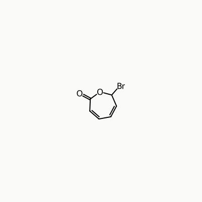 O=C1C=CC=CC(Br)O1